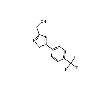 OCc1nsc(-c2ccc(C(F)(F)F)cc2)n1